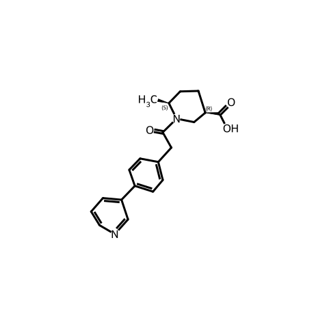 C[C@H]1CC[C@@H](C(=O)O)CN1C(=O)Cc1ccc(-c2cccnc2)cc1